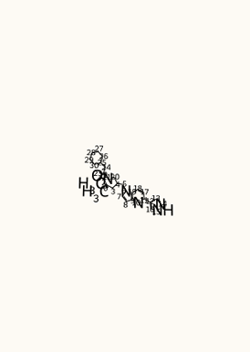 CC1(C)CC(Cn2ccc3nc(-c4cn[nH]c4)ccc32)CN1C(=O)CC1CCCCC1